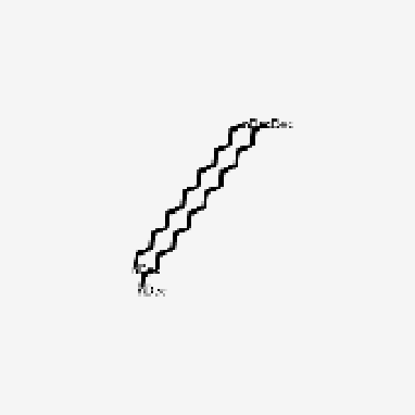 CCCCCCCCCCCCCCCCCCCCCCCCCCCCCCCCC.CCCCCCCCCCCCCCCCCCCCCCCCCCCCCCCCCCC